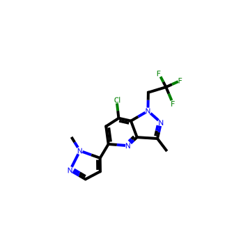 Cc1nn(CC(F)(F)F)c2c(Cl)cc(-c3ccnn3C)nc12